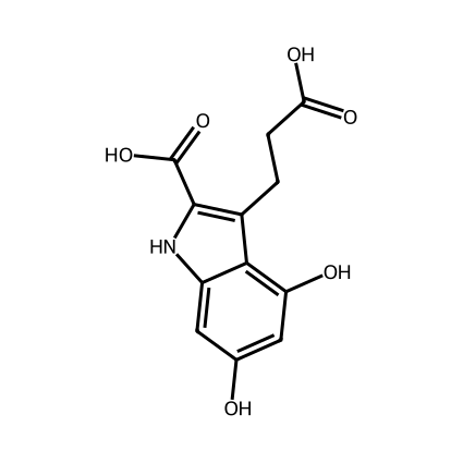 O=C(O)CCc1c(C(=O)O)[nH]c2cc(O)cc(O)c12